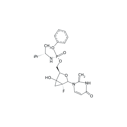 C=C1NC(=O)C=CN1C1O[C@H](CO[P@@](=O)(N[C@@H](C)C(C)C)Oc2ccccc2)C2(O)C[C@]12F